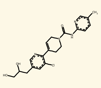 Cc1ccc(NC(=O)N2CC=C(c3ncc(CC(O)CO)cc3Cl)CC2)nc1